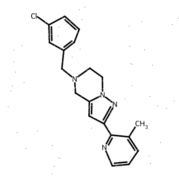 Cc1cccnc1-c1cc2n(n1)CCN(Cc1cccc(Cl)c1)C2